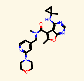 Cc1oc2ncnc(NC3(C)CC3)c2c1C(=O)N(C)Cc1ccnc(N2CCOCC2)c1